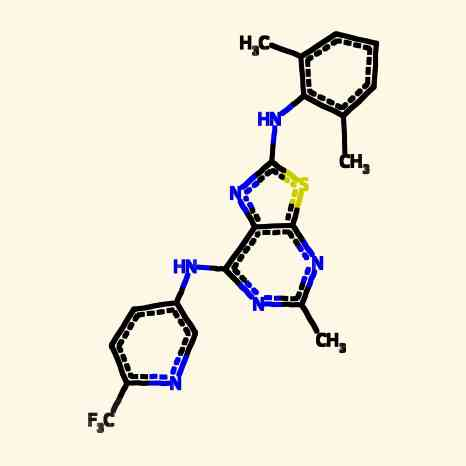 Cc1nc(Nc2ccc(C(F)(F)F)nc2)c2nc(Nc3c(C)cccc3C)sc2n1